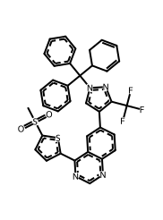 CS(=O)(=O)c1ccc(-c2ncnc3ccc(-c4cn(C(c5ccccc5)(c5ccccc5)C5C=CC=CC5)nc4C(F)(F)F)cc23)s1